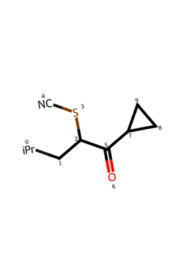 CC(C)CC(SC#N)C(=O)C1CC1